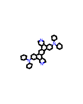 c1ccc(N(c2ccccc2)c2ccc3c(c2)c2cnccc2c2cc4c5ccc(N(c6ccccc6)c6ccccc6)cc5c5cnccc5c4cc32)cc1